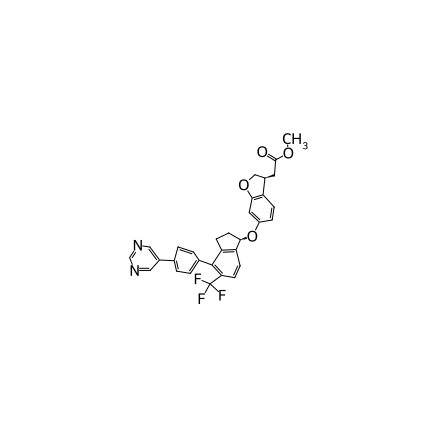 COC(=O)C[C@@H]1COc2cc(O[C@@H]3CCc4c3ccc(C(F)(F)F)c4-c3ccc(-c4cncnc4)cc3)ccc21